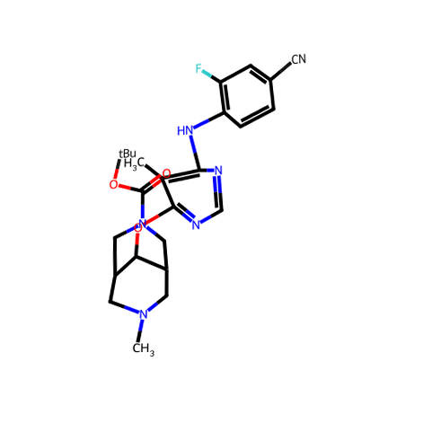 Cc1c(Nc2ccc(C#N)cc2F)ncnc1OC1C2CN(C)CC1CN(C(=O)OC(C)(C)C)C2